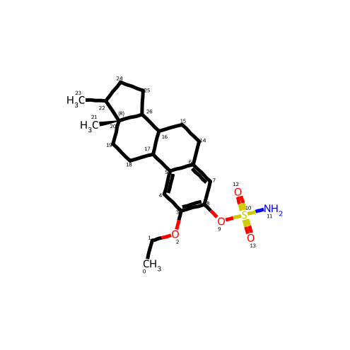 CCOc1cc2c(cc1OS(N)(=O)=O)CCC1C2CC[C@]2(C)C(C)CCC12